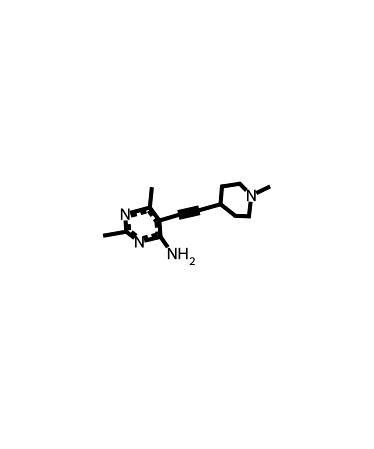 Cc1nc(C)c(C#CC2CCN(C)CC2)c(N)n1